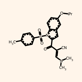 Cc1ccc(S(=O)(=O)n2c(C(=O)C(C#N)=CN(C)C)cc3cc(OC(C)C)ccc32)cc1